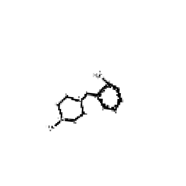 Cc1ccccc1CN1CCN(N)CC1